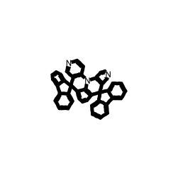 c1ccc2c(c1)-c1ccccc1C21c2cnccc2N2c3ccncc3C3(c4ccccc4-c4ccccc43)c3cccc1c32